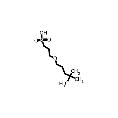 CC(C)(C)CCCOCCCS(=O)(=O)O